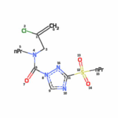 C=C(Cl)CN(CCC)C(=O)n1cnc(S(=O)(=O)CCC)n1